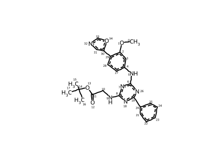 COc1cc(Nc2nc(NCC(=O)OC(C)(C)C)nc(-c3ccccc3)n2)ccc1-c1cnco1